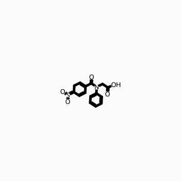 O=C(O)CN(C(=O)C1=CCC(=S(=O)=O)C=C1)c1ccccc1